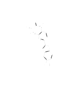 CN(C(=O)OC(C)(C)C)c1ccc(-c2cc3cc(O)ccc3o2)nc1[N+](=O)[O-]